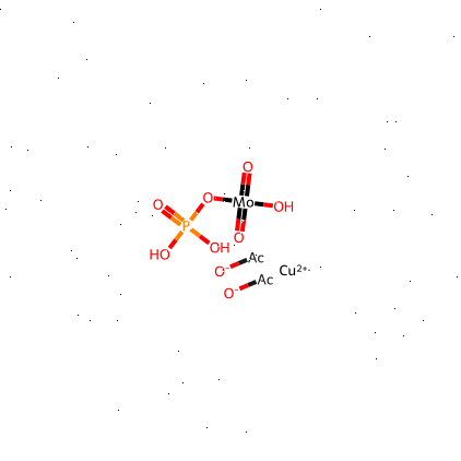 CC(=O)[O-].CC(=O)[O-].O=P(O)(O)[O][Mo](=[O])(=[O])[OH].[Cu+2]